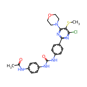 CSc1c(Cl)nc(-c2ccc(NC(=O)Nc3ccc(NC(C)=O)cc3)cc2)nc1N1CCOCC1